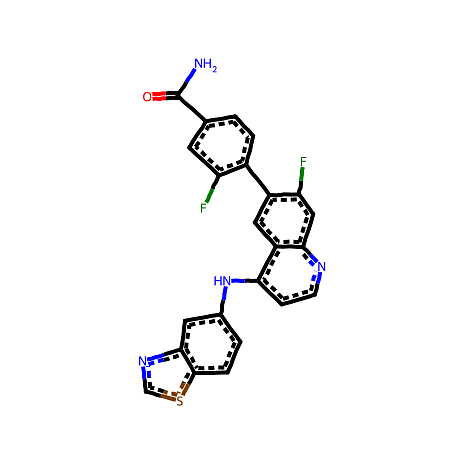 NC(=O)c1ccc(-c2cc3c(Nc4ccc5scnc5c4)ccnc3cc2F)c(F)c1